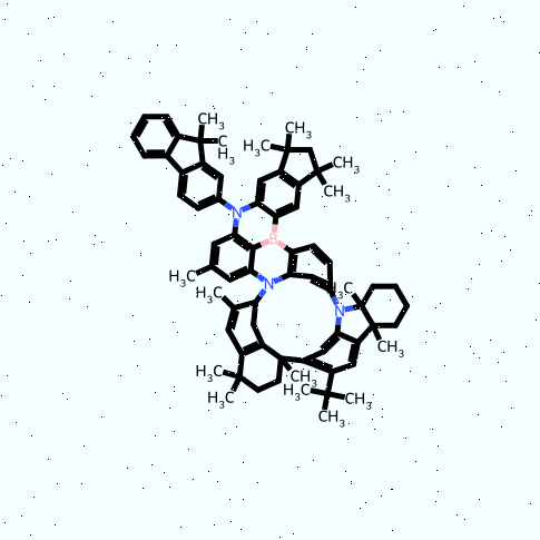 CC1=CC2=C3CC1N1c4cc(ccc4B4c5cc6c(cc5N(c5ccc7c(c5)C(C)(C)c5ccccc5-7)c5cc(C)cc1c54)C(C)(C)CC6(C)C)N1c4cc(c(C(C)(C)C)cc4C4(C)CCCCC14C)C3(C)CCC2(C)C